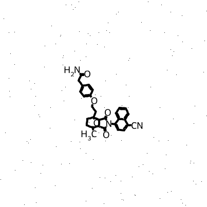 CC12CCC(CCOc3ccc(CC(N)=O)cc3)(O1)C1C(=O)N(c3ccc(C#N)c4ccccc34)C(=O)C12